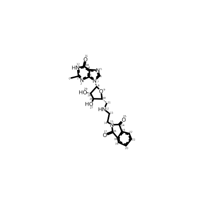 Cc1nc2c(ncn2[C@@H]2O[C@H](CNCCN3C(=O)c4ccccc4C3=O)C(O)[C@@H]2O)c(=O)[nH]1